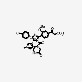 Cn1ccc([C@@H]2[C@H](c3ccc(Cl)cc3)N=C(c3ccc(C(=O)CC(=O)O)cc3OC(C)(C)C)N2C(=O)N2CCNC(=O)C2)c1